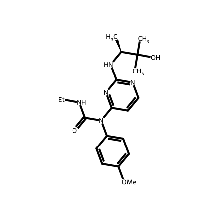 CCNC(=O)N(c1ccc(OC)cc1)c1ccnc(N[C@@H](C)C(C)(C)O)n1